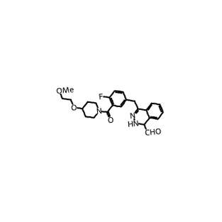 COCCOC1CCN(C(=O)c2cc(CC3=NNC(C=O)c4ccccc43)ccc2F)CC1